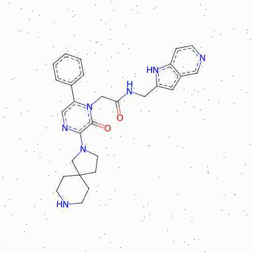 O=C(Cn1c(-c2ccccc2)cnc(N2CCC3(CCNCC3)C2)c1=O)NCc1cc2cnccc2[nH]1